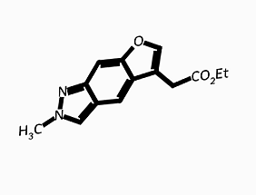 CCOC(=O)Cc1coc2cc3nn(C)cc3cc12